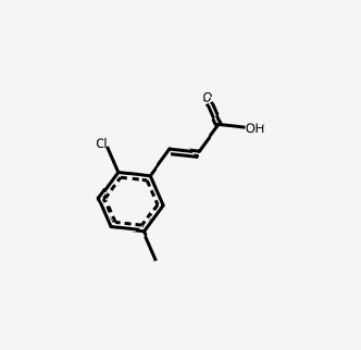 Cc1ccc(Cl)c(C=CC(=O)O)c1